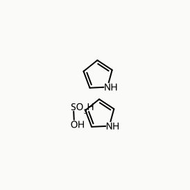 O=S(=O)(O)O.c1cc[nH]c1.c1cc[nH]c1